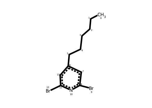 CCCCCCc1cc(Br)nc(Br)c1